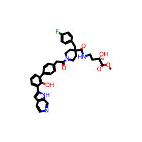 COC(=O)[C@@H](O)CCNC(=O)C1(Cc2ccc(F)cc2)CCN(C(=O)Cc2ccc(-c3cccc(-c4cc5ccncc5[nH]4)c3O)cc2)CC1